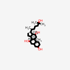 C[C@H](CCCC(C)(C)O)[C@H]1CCC2[C@@H]3C(O)CC4CC(O)CC[C@]4(C)[C@H]3CC(O)[C@@]21C